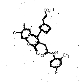 Cc1cc2c(-c3cccc(C=CC(=O)O)c3)c(CC(=O)Nc3ccc(F)cc3C(F)(F)F)c(=O)oc2cc1Cl